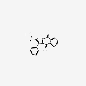 C[S+]([O-])c1oc2c(c1-c1ccccc1)C(=O)c1ccccc1C2=O